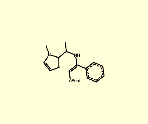 CCCCC/C=C(/NC(C)C1CC=CN1C)c1ccccc1